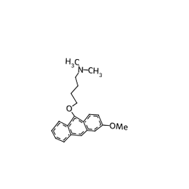 COc1ccc2c(OCCCCN(C)C)c3ccccc3cc2c1